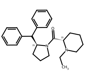 CCN1CCCC[C@H]1C(=O)N1CCC[C@H]1C(c1ccccc1)c1ccccc1